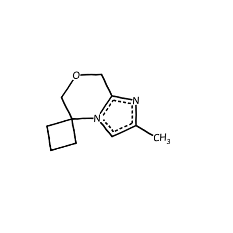 Cc1cn2c(n1)COCC21CCC1